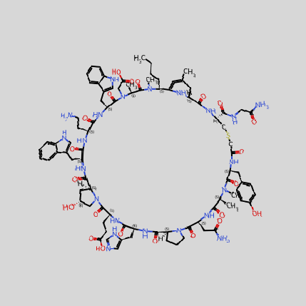 CCCC[C@H]1C2=C=C(C)C[C@H](N2)C(=O)N[C@H](C(=O)NCC(N)=O)CSCC(=O)N[C@@H](Cc2ccc(O)cc2)C(=O)N(C)[C@@H](C)C(=O)N[C@@H](CC(N)=O)C(=O)N2CCC[C@H]2C(=O)N[C@@H](Cc2cnc[nH]2)C(=O)N[C@@H](CCC(=O)O)C(=O)N2C[C@H](O)C[C@H]2C(=O)N[C@@H](Cc2c[nH]c3ccccc23)C(=O)N[C@@H](CCN)C(=O)N[C@@H](Cc2c[nH]c3ccccc23)C(=O)N(CC(=O)O)[C@@H](C)C(=O)N1C